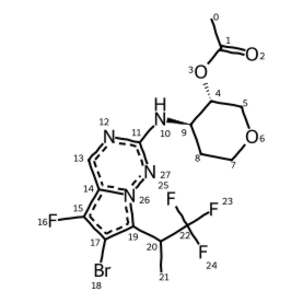 CC(=O)O[C@@H]1COCC[C@H]1Nc1ncc2c(F)c(Br)c(C(C)C(F)(F)F)n2n1